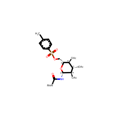 CNC(=O)N[C@@H]1O[C@H](COS(=O)(=O)c2ccc(C)cc2)[C@@H](OC(C)=O)[C@H](OC(C)=O)[C@H]1OC(C)=O